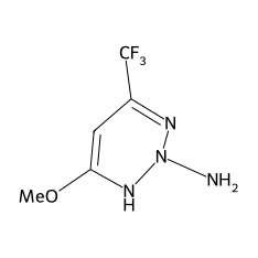 COC1=CC(C(F)(F)F)=NN(N)N1